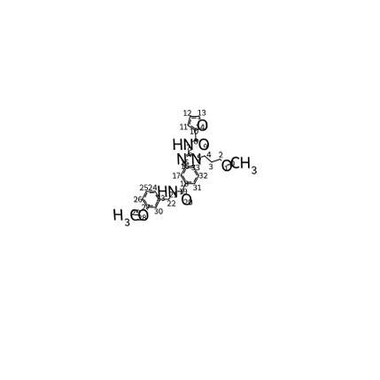 COCCCn1c(NC(=O)c2ccco2)nc2cc(C(=O)NCc3cccc(OC)c3)ccc21